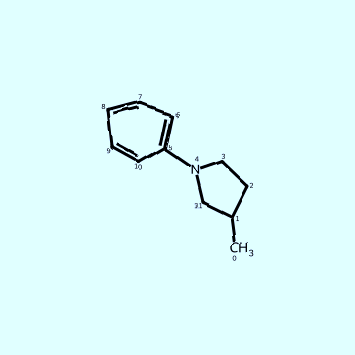 CC1CCN(c2cc[c]cc2)C1